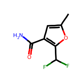 Cc1cc(C(N)=O)c(C(F)F)o1